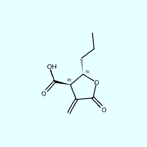 C=C1C(=O)O[C@@H](CCC)[C@@H]1C(=O)O